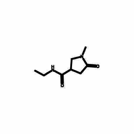 CCNC(=O)C1CC(=O)N(C)C1